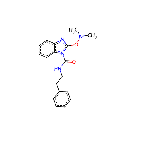 CN(C)Oc1nc2ccccc2n1C(=O)NCCc1ccccc1